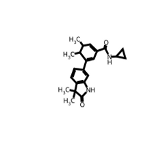 CC1C=C(C(=O)NC2CC2)C=C(c2ccc3c(c2)NC(=O)C3(C)C)C1C